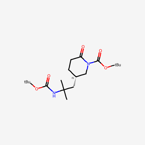 CC(C)(C[C@@H]1CCC(=O)N(C(=O)OC(C)(C)C)C1)NC(=O)OC(C)(C)C